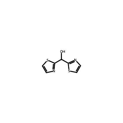 O[C](c1nccs1)c1nccs1